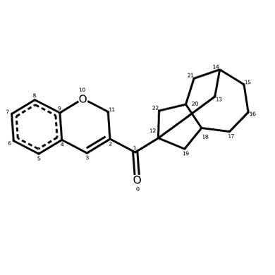 O=C(C1=Cc2ccccc2OC1)C12CC3CCCC(C1)C(C3)C2